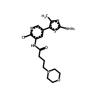 CC(=O)Nc1nc(C)c(-c2cnc(Cl)c(NC(=O)CCCN3CCOCC3)c2)s1